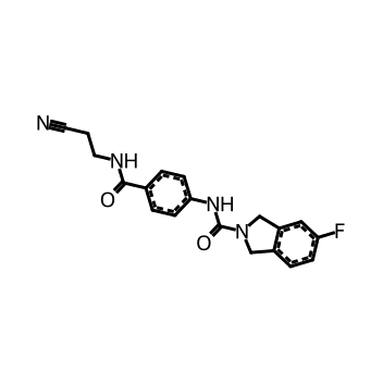 N#CCCNC(=O)c1ccc(NC(=O)N2Cc3ccc(F)cc3C2)cc1